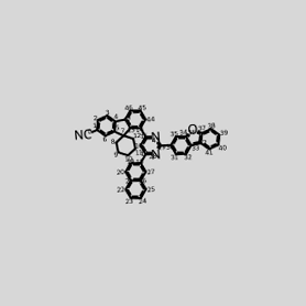 N#Cc1ccc2c(c1)C1(CCCCC1)c1c(-c3cc(-c4ccc5ccccc5c4)nc(-c4ccc5c(c4)oc4ccccc45)n3)cccc1-2